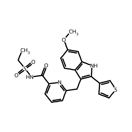 CCS(=O)(=O)NC(=O)c1cccc(Cc2c(-c3ccsc3)[nH]c3cc(OC)ccc23)n1